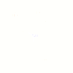 OCCNCCO.Oc1ccccc1